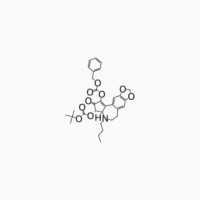 CCCCN1CCc2cc3c(cc2C2=C(OC(=O)OCc4ccccc4)C(=O)[C@@H](OC(=O)OC(C)(C)C)[C@@H]21)OCO3